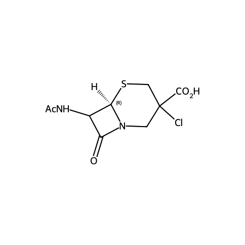 CC(=O)NC1C(=O)N2CC(Cl)(C(=O)O)CS[C@H]12